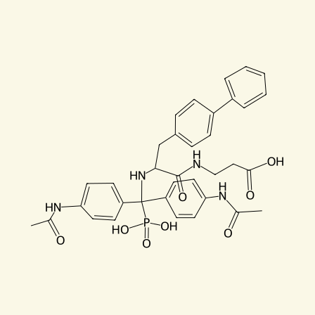 CC(=O)Nc1ccc(C(NC(Cc2ccc(-c3ccccc3)cc2)C(=O)NCCC(=O)O)(c2ccc(NC(C)=O)cc2)P(=O)(O)O)cc1